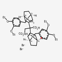 CCOc1ccc(C[N+]2(C)[C@@H]3CC[C@H]2CC(C(CC(=O)O)(C(=O)O)C2C[C@H]4CC[C@@H](C2)[N+]4(C)Cc2ccc(OCC)c(OCC)c2)C3)cc1OCC.[Br-].[Br-]